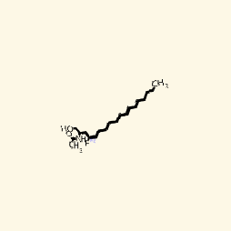 CCCCCCCCCCCCC/C=C(/F)CC(CO)NC(C)=O